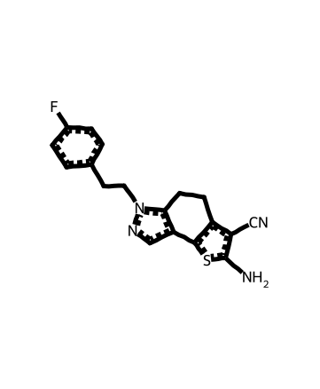 N#Cc1c(N)sc2c1CCc1c-2cnn1CCc1ccc(F)cc1